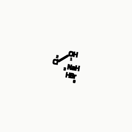 Br.OCl.[NaH]